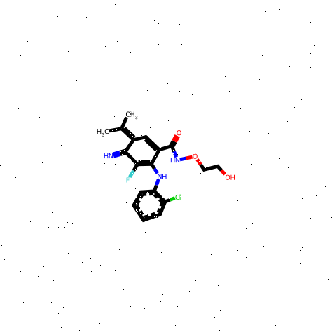 CC(C)=C1C=C(C(=O)NOCCO)C(Nc2ccccc2Cl)=C(F)C1=N